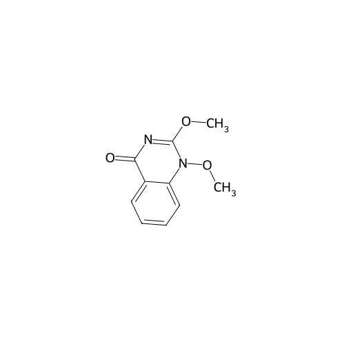 COc1nc(=O)c2ccccc2n1OC